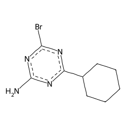 Nc1nc(Br)nc(C2CCCCC2)n1